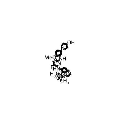 COc1ccc(N2CCC(O)CC2)cc1Nc1ncc(F)c(Nc2ccc3nccnc3c2N(C)S(C)(=O)=O)n1